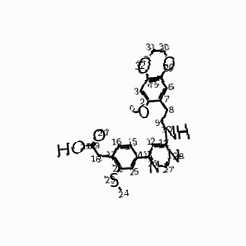 COc1cc2c(cc1CCNc1cc(-c3ccc(CC(=O)O)c(SC)c3)ncn1)OCCO2